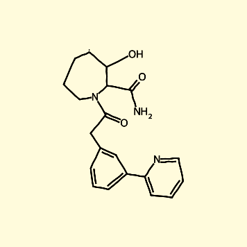 NC(=O)C1C(O)[CH]CCCN1C(=O)Cc1cccc(-c2ccccn2)c1